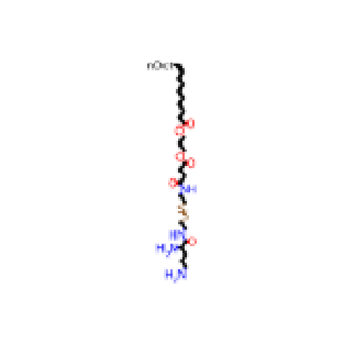 CCCCCCCC/C=C\CCCCCCCC(=O)OCCCOC(=O)CCC(=O)NCCSSCCNC(=O)C(N)CCCN